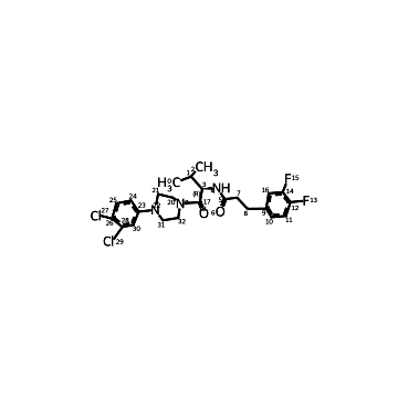 CC(C)[C@@H](NC(=O)CCc1ccc(F)c(F)c1)C(=O)N1CCN(c2ccc(Cl)c(Cl)c2)CC1